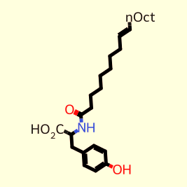 CCCCCCCCC=CCCCCCCCC(=O)NC(Cc1ccc(O)cc1)C(=O)O